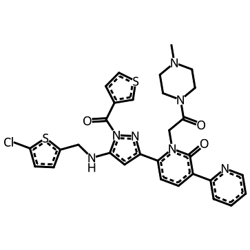 CN1CCN(C(=O)Cn2c(-c3cc(NCc4ccc(Cl)s4)n(C(=O)c4ccsc4)n3)ccc(-c3ccccn3)c2=O)CC1